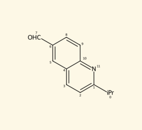 CC(C)c1ccc2cc(C=O)ccc2n1